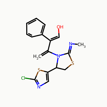 C=C(/C(=C/O)c1ccccc1)N1/C(=N/C)SCC1c1cnc(Cl)s1